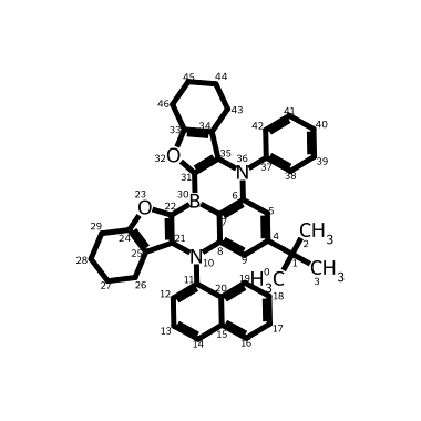 CC(C)(C)c1cc2c3c(c1)N(c1cccc4ccccc14)c1c(oc4c1CCCC4)B3c1oc3c(c1N2c1ccccc1)CCCC3